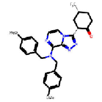 COc1ccc(CN(Cc2ccc(OC)cc2)c2nccn3c([C@@H]4C[C@H](C(F)(F)F)CCC4=O)nnc23)cc1